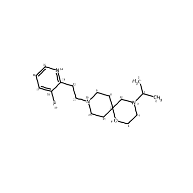 CC(C)N1CCOC2(CCN(CCc3ncccc3F)CC2)C1